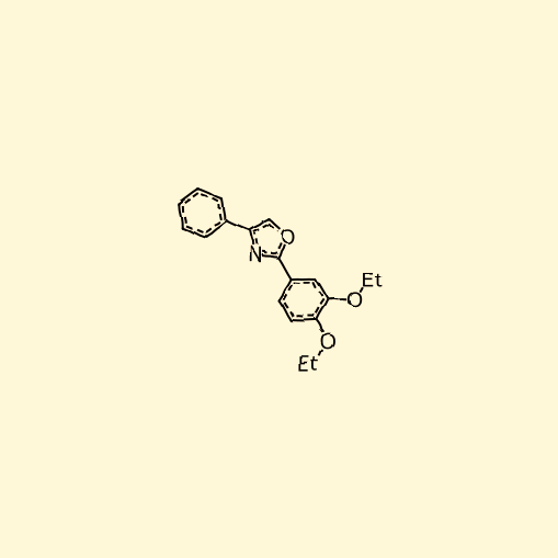 CCOc1ccc(-c2nc(-c3ccccc3)co2)cc1OCC